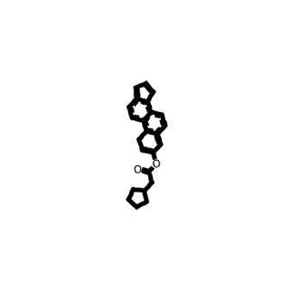 O=C(CC1CCCC1)OC1=CCc2c(ccc3c4c(ccc23)=CC=C4)=C1